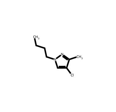 CCCCn1[c]c(Cl)c(C)n1